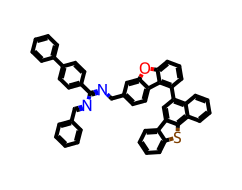 C(=N\C(=N/Cc1ccc2c(c1)oc1cccc(-c3cc4c5ccccc5sc4c4ccccc34)c12)c1ccc(-c2ccccc2)cc1)/c1ccccc1